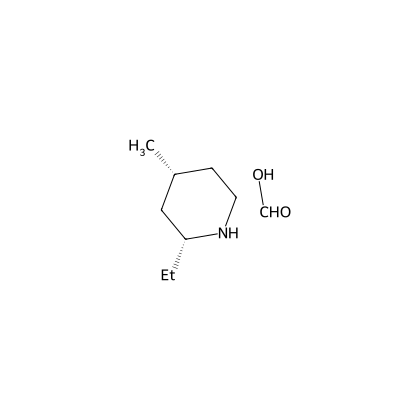 CC[C@@H]1C[C@H](C)CCN1.O=CO